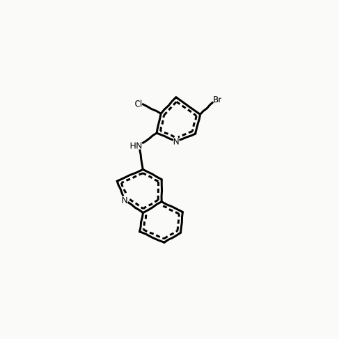 Clc1cc(Br)cnc1Nc1cnc2ccccc2c1